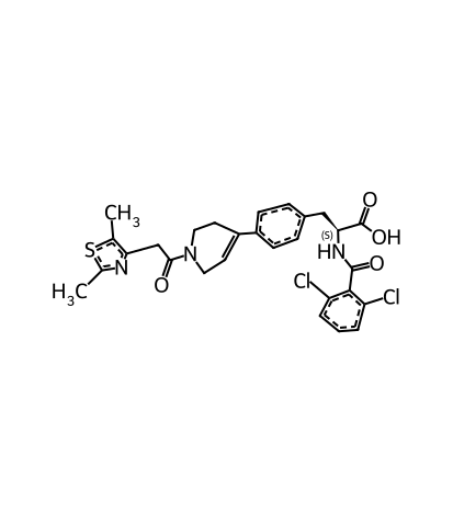 Cc1nc(CC(=O)N2CC=C(c3ccc(C[C@H](NC(=O)c4c(Cl)cccc4Cl)C(=O)O)cc3)CC2)c(C)s1